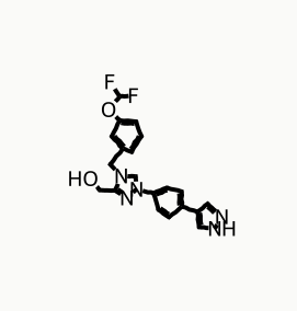 OCC1=NN(c2ccc(-c3cn[nH]c3)cc2)CN1Cc1cccc(OC(F)F)c1